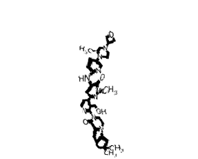 C[C@H]1CN(C2COC2)CCN1c1ccc(Nc2cc(-c3ccnc(N4CCn5c(cc6c5CC(C)(C)C6)C4=O)c3CO)nn(C)c2=O)nc1